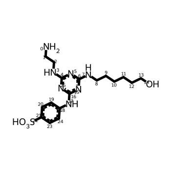 NCCNc1nc(NCCCCCCO)nc(Nc2ccc(S(=O)(=O)O)cc2)n1